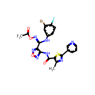 Cc1nc(-c2cccnc2)sc1C(=O)Nc1nonc1/C(=N\OC(=O)C(F)(F)F)Nc1ccc(F)c(Br)c1